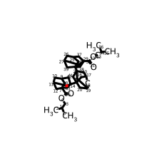 CC(C)COC(=O)C12CC3CC(C1)CC(C14CC5CC(C1)CC(C16CC7CC(CC(C(=O)OCC(C)C)(C7)C1)C6)(C5)C4)(C3)C2